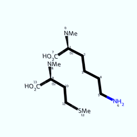 CN[C@@H](CCCCN)C(=O)O.CN[C@@H](CCSC)C(=O)O